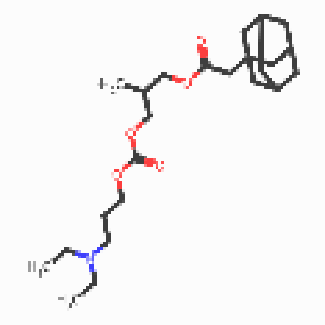 [CH2]C(COC(=O)CC12CC3CC(CC(C3)C1)C2)COC(=O)OCCCN(CC)CC